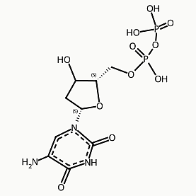 Nc1cn([C@@H]2CC(O)[C@H](COP(=O)(O)OP(=O)(O)O)O2)c(=O)[nH]c1=O